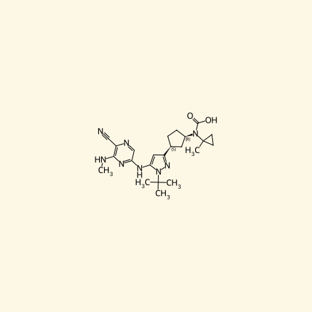 CNc1nc(Nc2cc([C@H]3CC[C@@H](N(C(=O)O)C4(C)CC4)C3)nn2C(C)(C)C)cnc1C#N